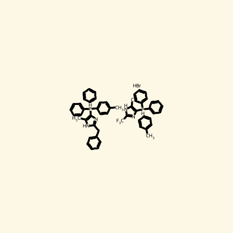 Br.Cc1ccc([PH](c2ccccc2)(c2ccccc2)c2nc(C(F)(F)F)[nH]c2C)cc1.Cc1ccc([PH](c2ccccc2)(c2ccccc2)c2nc(Cc3ccccc3)[nH]c2C)cc1